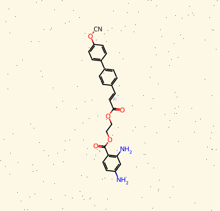 N#COc1ccc(-c2ccc(/C=C/C(=O)OCCOC(=O)c3ccc(N)cc3N)cc2)cc1